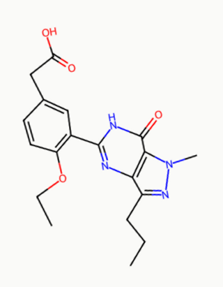 CCCc1nn(C)c2c(=O)[nH]c(-c3cc(CC(=O)O)ccc3OCC)nc12